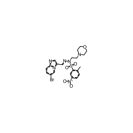 Cc1ccc([N+](=O)[O-])cc1S(=O)(=O)N(CCN1CCOCC1)/N=C/c1cnc2ccc(Br)cn12